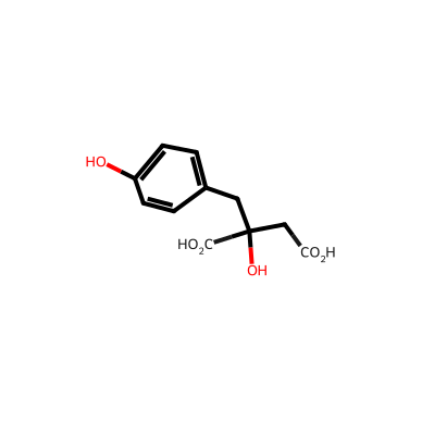 O=C(O)CC(O)(Cc1ccc(O)cc1)C(=O)O